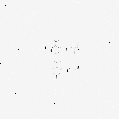 CC(=O)NCC(=O)OC1CC(C)CCC1C(C)C.CC(=O)NCC(=O)OC1CC(C)CCC1C(C)C.O=C(O)O